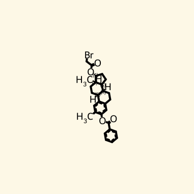 Cc1cc2c(cc1OC(=O)c1ccccc1)CC[C@@H]1[C@@H]2CC[C@]2(C)[C@@H](OC(=O)CBr)CC[C@@H]12